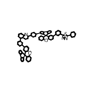 c1ccc(-c2nnc(-c3cccc(-c4ccc5c(c4)C4(c6ccccc6O5)c5ccccc5-c5ccc(-c6ccc(-c7ccc8c(-c9cccc(-c%10ccc%11c(c%10)C%10(c%12ccccc%12O%11)c%11ccccc%11-c%11ccccc%11%10)c9)cccc8n7)cc6)cc54)c3)s2)cc1